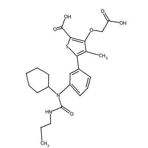 CCCNC(=O)N(c1cccc(-c2sc(C(=O)O)c(OCC(=O)O)c2C)c1)C1CCCCC1